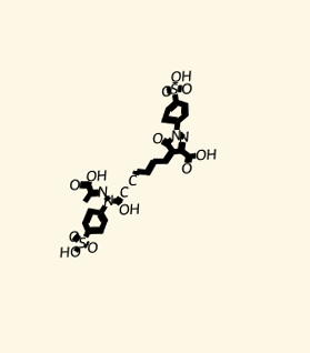 C/C(=N\N(C(O)=C=C=CC=CC=C1C(=O)N(c2ccc(S(=O)(=O)O)cc2)N=C1C(=O)O)c1ccc(S(=O)(=O)O)cc1)C(=O)O